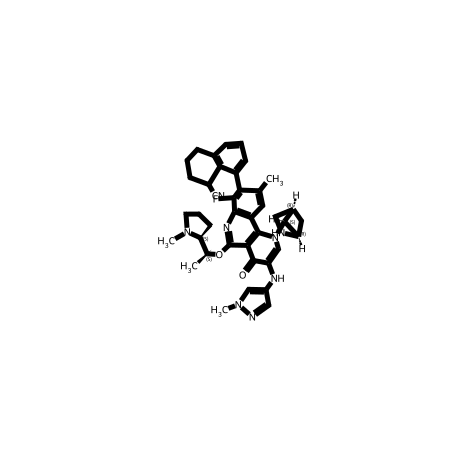 Cc1cc2c(nc(O[C@@H](C)[C@@H]3CCCN3C)c3c(=O)c(Nc4cnn(C)c4)cn([C@H]4[C@H]5CN[C@@H]4C5)c32)c(F)c1-c1cccc2c1C(C#N)CCC2